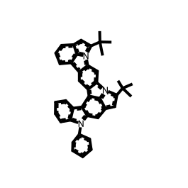 CC(C)(C)c1cc2cccc3c4cc5c6c7c8ccccc8n(-c8ccccc8)c7cc7cc(C(C)(C)C)n(c5cc4n1c23)c76